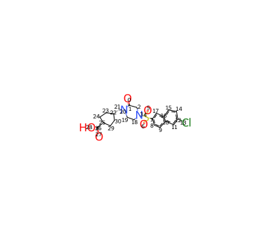 O=C1CN(S(=O)(=O)c2ccc3cc(Cl)ccc3c2)CCN1C[C@H]1CC[C@H](C(=O)O)CC1